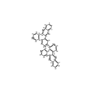 c1ccc2nc(-c3ccnc(-c4cc(-c5nc6ccccc6nc5-c5ccncc5)ccn4)c3)c(-c3ccncc3)nc2c1